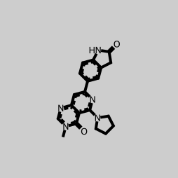 Cn1cnc2cc(-c3ccc4c(c3)CC(=O)N4)nc(N3CCCC3)c2c1=O